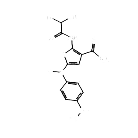 CC(C)C(O)C(=O)Nc1sc([S+]([O-])c2ccc(OC(F)(F)F)cc2)cc1C(N)=O